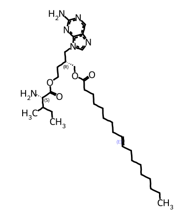 CCCCCCCC/C=C/CCCCCCCC(=O)OC[C@H](CCOC(=O)[C@@H](N)C(C)CC)Cn1cnc2cnc(N)nc21